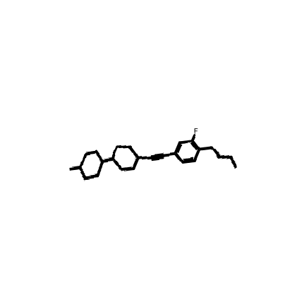 CCCCc1ccc(C#CC2CCC(C3CCC(C)CC3)CC2)cc1F